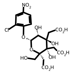 O=C(O)C[C@]1(CO)O[C@H](Oc2ccc([N+](=O)[O-])cc2Cl)[C@H](O)[C@](O)(CC(=O)O)[C@@]1(O)CC(=O)O